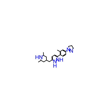 Cc1cc(N2CCC=N2)ccc1C1=CC=C(CC2CC(C)NC(C)C2)NN1